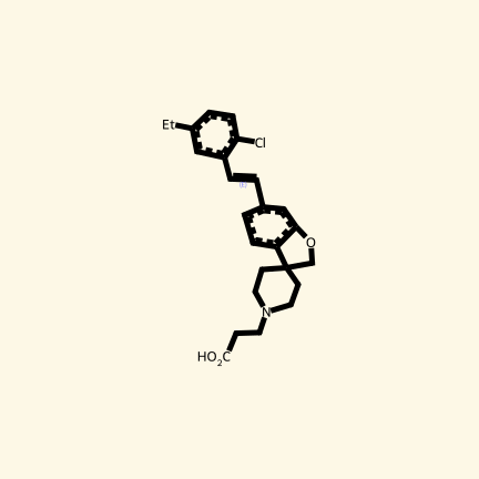 CCc1ccc(Cl)c(/C=C/c2ccc3c(c2)OCC32CCN(CCC(=O)O)CC2)c1